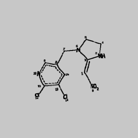 O=[N+]([O-])/C=C1\NCCN1Cc1cnc(Cl)c(Cl)c1